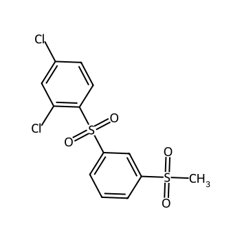 CS(=O)(=O)c1cccc(S(=O)(=O)c2ccc(Cl)cc2Cl)c1